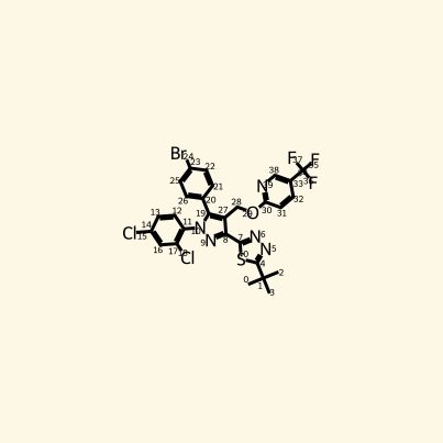 CC(C)(C)c1nnc(-c2nn(-c3ccc(Cl)cc3Cl)c(-c3ccc(Br)cc3)c2COc2ccc(C(F)(F)F)cn2)s1